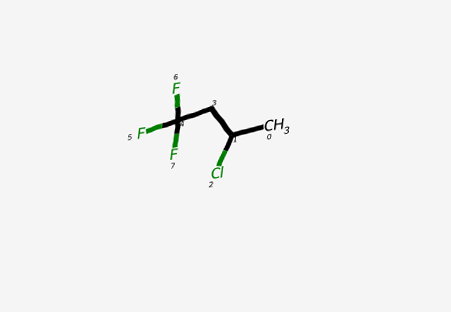 CC(Cl)CC(F)(F)F